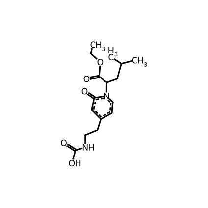 CCOC(=O)C(CC(C)C)n1ccc(CCNC(=O)O)cc1=O